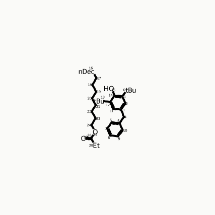 CC(C)(C)c1cc(Cc2ccccc2)cc(C(C)(C)C)c1O.CCCCCCCCCCCCCCCCCCOC(=O)CC